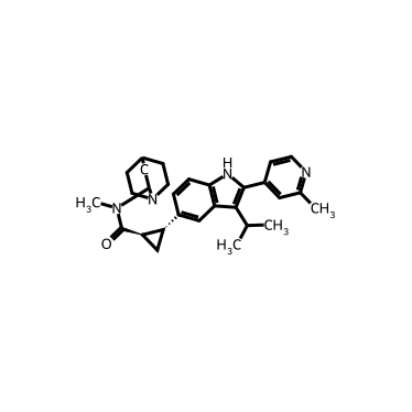 Cc1cc(-c2[nH]c3ccc([C@@H]4C[C@H]4C(=O)N(C)C4CC5CCN4CC5)cc3c2C(C)C)ccn1